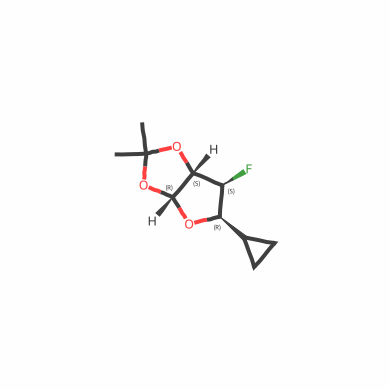 CC1(C)O[C@H]2O[C@H](C3CC3)[C@H](F)[C@H]2O1